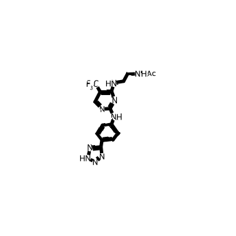 CC(=O)NCCNc1nc(Nc2ccc(-c3nn[nH]n3)cc2)ncc1C(F)(F)F